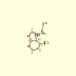 Fc1cccc2ccn(SI)c12